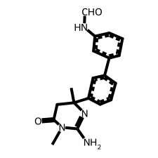 CN1C(=O)CC(C)(c2cccc(-c3cccc(NC=O)c3)c2)N=C1N